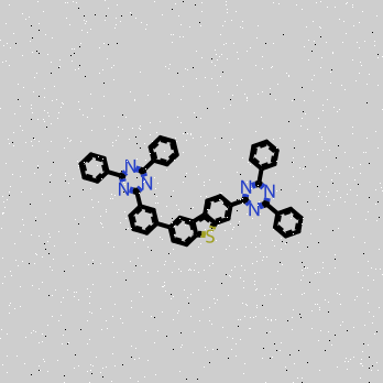 c1ccc(-c2nc(-c3ccccc3)nc(-c3cccc(-c4ccc5sc6cc(-c7nc(-c8ccccc8)nc(-c8ccccc8)n7)ccc6c5c4)c3)n2)cc1